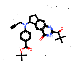 C#CCN(c1ccc(C(=O)OC(C)(C)C)cc1)C1CCc2cc3nc(C(=O)C(C)(C)C)[nH]c(=O)c3cc21